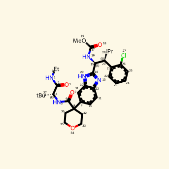 CCNC(=O)[C@H](NC(=O)C1(c2ccc3nc([C@@H](NC(=O)OC)[C@H](c4ccccc4Cl)C(C)C)[nH]c3c2)CCOCC1)C(C)(C)C